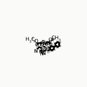 CCOC(=O)COP(=O)(CN[C@@H](Cc1ccc(-c2ccccc2)cc1)c1nnnn1CCC#N)OCC(=O)OCC